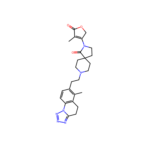 CC1=C(N2CCC3(CCN(CCc4ccc5c(c4C)CCc4nnnn4-5)CC3)C2=O)COC1=O